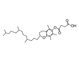 Cc1c(C)c2c(c(C)c1OC(=O)CCC(=O)O)CCC(CCCC(C)CCCC(C)CCCC(C)C)O2